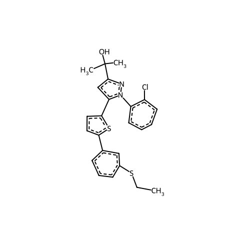 CCSc1cccc(-c2ccc(-c3cc(C(C)(C)O)nn3-c3ccccc3Cl)s2)c1